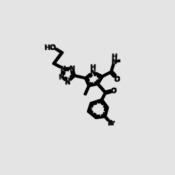 CNC(=O)c1[nH]c(-c2nnn(CCO)n2)c(C)c1C(=O)c1cccc(Br)c1